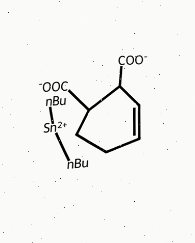 CCC[CH2][Sn+2][CH2]CCC.O=C([O-])C1C=CCCC1C(=O)[O-]